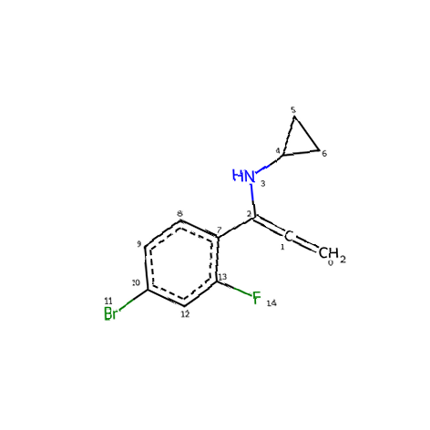 C=C=C(NC1CC1)c1ccc(Br)cc1F